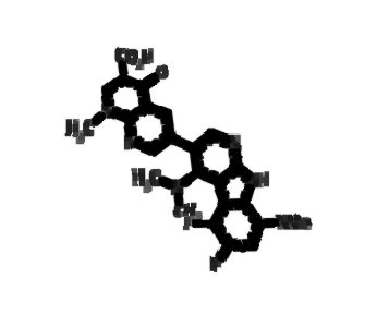 CNc1cc(F)c(F)c2c1[nH]c1ncc(-c3cnc4c(c3)c(=O)c(C(=O)O)cn4C)c(N(C)C)c12